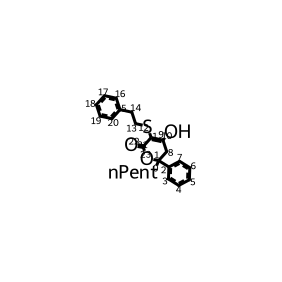 CCCCCC1(c2ccccc2)CC(O)=C(SCCc2ccccc2)C(=O)O1